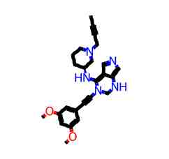 CC#CCN1CCC[C@H](NC2=C3C=NC=C3NCN2C#Cc2cc(OC)cc(OC)c2)C1